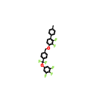 Cc1ccc(-c2ccc(OCc3ccc(C(F)(F)Oc4cc(F)c(F)c(F)c4)cc3)c(F)c2F)cc1